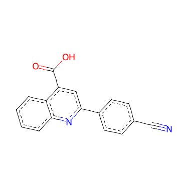 N#Cc1ccc(-c2cc(C(=O)O)c3ccccc3n2)cc1